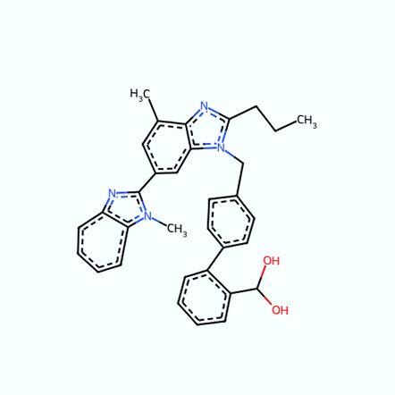 CCCc1nc2c(C)cc(-c3nc4ccccc4n3C)cc2n1Cc1ccc(-c2ccccc2C(O)O)cc1